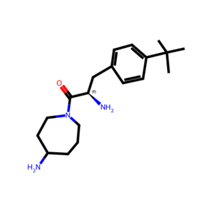 CC(C)(C)c1ccc(C[C@@H](N)C(=O)N2CCCC(N)CC2)cc1